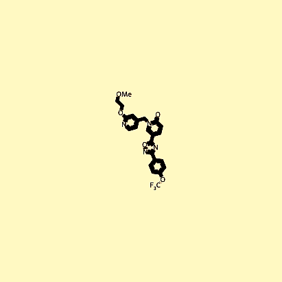 COCCOc1cc(Cn2cc(-c3nc(-c4ccc(OC(F)(F)F)cc4)no3)ccc2=O)ccn1